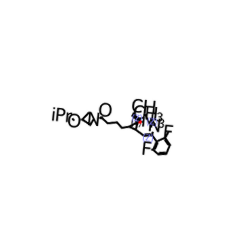 C\C=C/N=N\C(=C/C1C(CCCC(=O)N2CC(OC(C)C)C2)[C@@H]1C)c1c(F)cccc1F